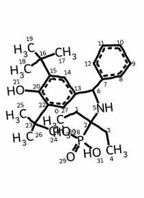 CCC(CC)(NC(c1ccccc1)c1cc(C(C)(C)C)c(O)c(C(C)(C)C)c1)P(=O)(O)O